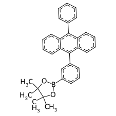 CC1(C)OB(c2cccc(-c3c4ccccc4c(-c4ccccc4)c4ccccc34)c2)OC1(C)C